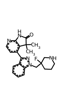 CC1(C)C(=O)Nc2nccc(-c3nn(CC4(F)CCCNC4)c4ccccc34)c21